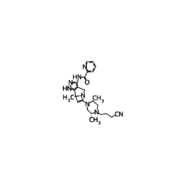 C[C@@H]1CN(C2=CC3(C)c4[nH]nc(NC(=O)c5ccccn5)c4CN23)[C@@H](C)CN1CCCC#N